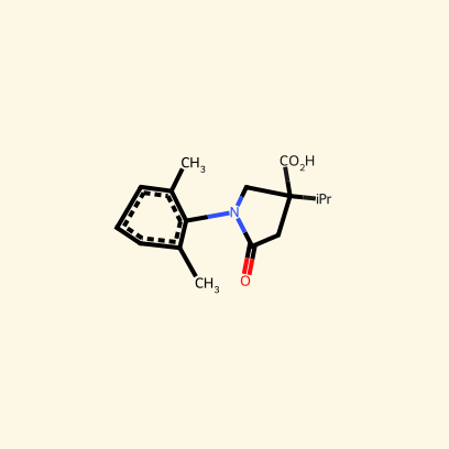 Cc1cccc(C)c1N1CC(C(=O)O)(C(C)C)CC1=O